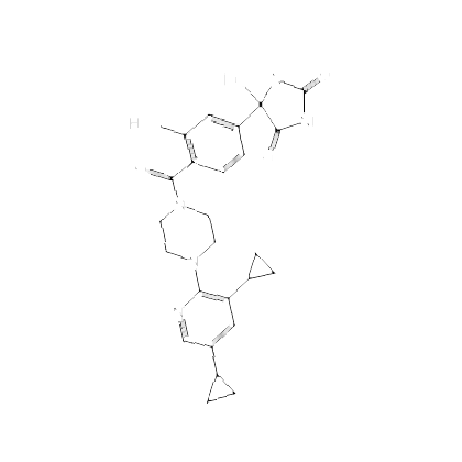 Cc1cc(C2(C)NC(=O)NC2=O)ccc1C(=O)N1CCN(c2ncc(C3CC3)cc2C2CC2)CC1